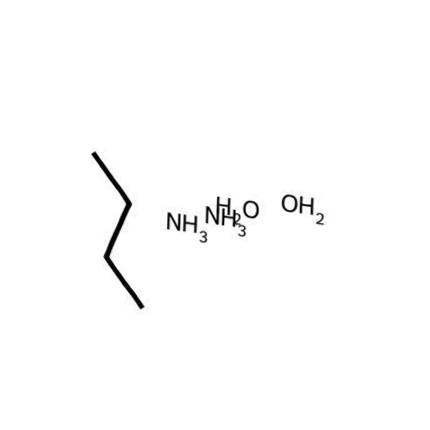 CCCC.N.N.O.O